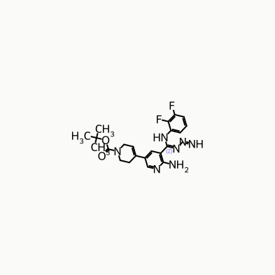 CC(C)(C)OC(=O)N1CC=C(c2cnc(N)c(/C(=N/N=N)Nc3cccc(F)c3F)c2)CC1